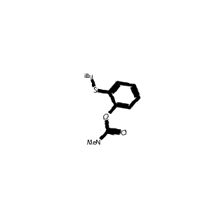 CCC(C)Sc1ccccc1OC(=O)NC